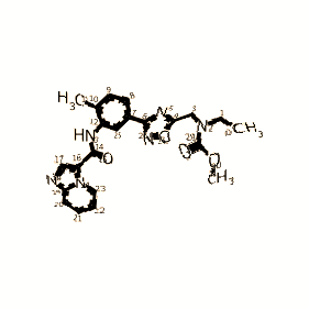 CCN(Cc1nc(-c2ccc(C)c(NC(=O)c3cnc4ccccn34)c2)no1)C(=O)OC